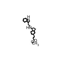 COC(=O)C=Cc1ccc2c(c1)CCC2NCCc1c[nH]c2ccccc12